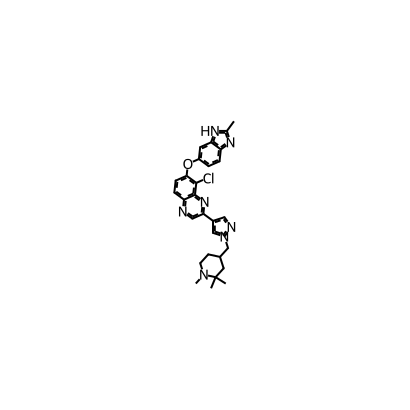 Cc1nc2ccc(Oc3ccc4ncc(-c5cnn(CC6CCN(C)C(C)(C)C6)c5)nc4c3Cl)cc2[nH]1